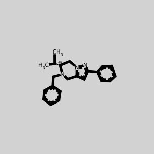 CC(C)[C@@H]1Cn2nc(-c3ccccc3)cc2CN1Cc1ccccc1